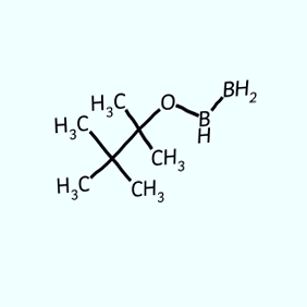 BBOC(C)(C)C(C)(C)C